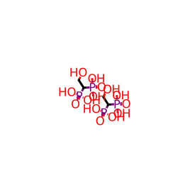 O=P(O)(O)C(CO)P(=O)(O)O.O=P(O)(O)C(CO)P(=O)(O)O